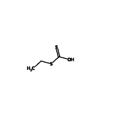 CCSC(O)=S